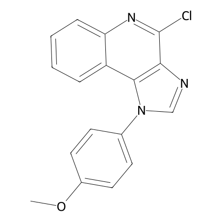 COc1ccc(-n2cnc3c(Cl)nc4ccccc4c32)cc1